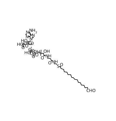 CC(C)(COP(=O)(O)OP(=O)(O)OC[C@H]1O[C@@H](n2cnc3c(N)ncnc32)[C@H](O)[C@@H]1OP(=O)(O)O)[C@@H](O)C(=O)NCCC(=O)NCCSC(=O)CCCCCCCCCCCCCCCCC=O